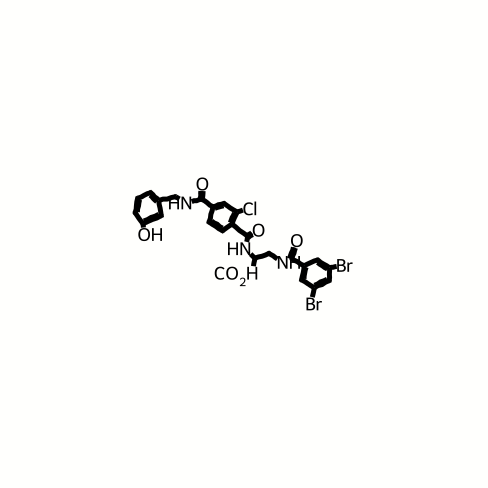 O=C(NCc1cccc(O)c1)c1ccc(C(=O)NC(CNC(=O)c2cc(Br)cc(Br)c2)C(=O)O)c(Cl)c1